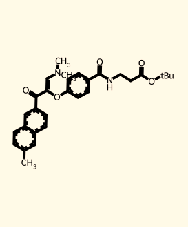 Cc1ccc2cc(C(=O)/C(=C/N(C)C)Oc3ccc(C(=O)NCCC(=O)OC(C)(C)C)cc3)ccc2c1